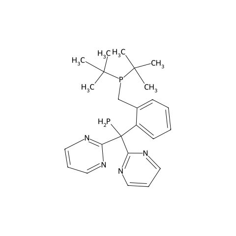 CC(C)(C)P(Cc1ccccc1C(P)(c1ncccn1)c1ncccn1)C(C)(C)C